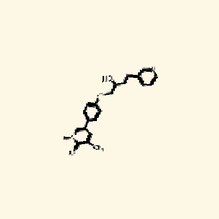 Cn1cc(-c2ccc(OCC(O)CCc3cccnc3)cc2)cc(C(F)(F)F)c1=O